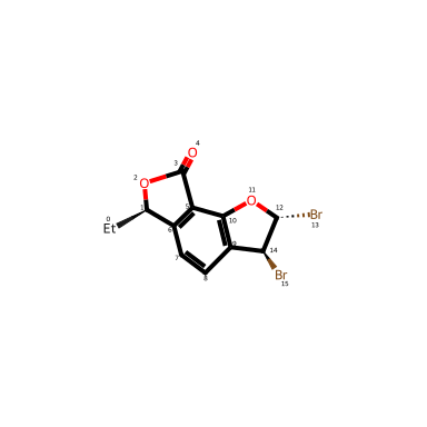 CC[C@H]1OC(=O)c2c1ccc1c2O[C@H](Br)[C@H]1Br